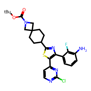 CC(C)(C)OC(=O)N1CC2(CCC(c3nc(-c4cccc(N)c4F)c(-c4ccnc(Cl)n4)s3)CC2)C1